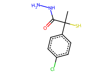 CC(S)(C(=O)NN)c1ccc(Cl)cc1